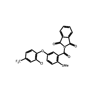 CSc1ccc(Oc2ccc(C(F)(F)F)cc2Cl)cc1C(=O)N1C(=O)c2ccccc2C1=O